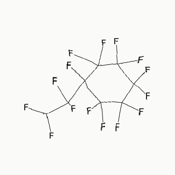 F[C](F)C(F)(F)C1(F)C(F)(F)C(F)(F)C(F)(F)C(F)(F)C1(F)F